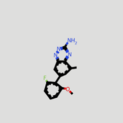 COc1cccc(F)c1-c1cc(C)c2nc(N)nnc2c1